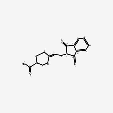 O=C(O)N1CCC(=CCN2C(=O)c3ccccc3C2=O)CC1